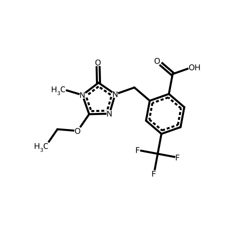 CCOc1nn(Cc2cc(C(F)(F)F)ccc2C(=O)O)c(=O)n1C